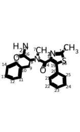 Cc1nc(C(=O)N(C)[C@@H](Cc2ccccc2)C(N)=O)c(-c2ccccc2)s1